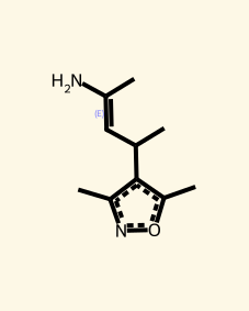 C/C(N)=C\C(C)c1c(C)noc1C